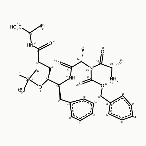 CC(C)C(NC(=O)CC[C@H](O[Si](C)(C)C(C)(C)C)[C@H](Cc1ccccc1)NC(=O)[C@H](C)N(C(=O)OCc1ccccc1)C(=O)[C@H](C)N)C(=O)O